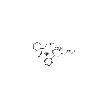 CC(C)CCC1(C(=O)Nc2ccccc2C(CCCC(=O)O)SC(=O)O)CCCCC1